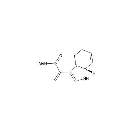 C=C(C(=O)NC)C1=CN[C@H]2C=CCCN12